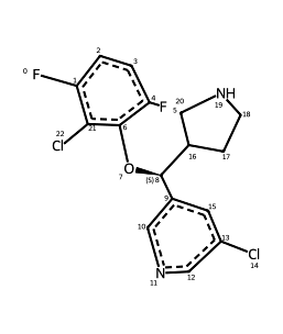 Fc1ccc(F)c(O[C@H](c2cncc(Cl)c2)C2CCNC2)c1Cl